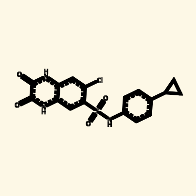 O=c1[nH]c2cc(Cl)c(S(=O)(=O)Nc3ccc(C4CC4)cc3)cc2[nH]c1=O